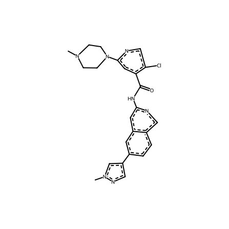 CN1CCN(c2cc(C(=O)Nc3cc4cc(-c5cnn(C)c5)ccc4cn3)c(Cl)cn2)CC1